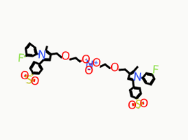 Cc1c(CCOCCCO[N+](=O)OCCCOCCc2cc(-c3ccc(S(C)(=O)=O)cc3)n(-c3cccc(F)c3)c2C)cc(-c2ccc(S(C)(=O)=O)cc2)n1-c1cccc(F)c1